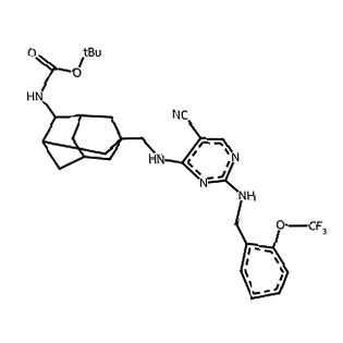 CC(C)(C)OC(=O)NC1C2CC3CC1CC(CNc1nc(NCc4ccccc4OC(F)(F)F)ncc1C#N)(C3)C2